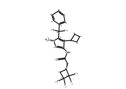 Cn1nc(NC(=O)C[C@@H]2CC(F)(F)C2(F)F)c(C2CCC2)c1C(F)(F)c1ccccc1